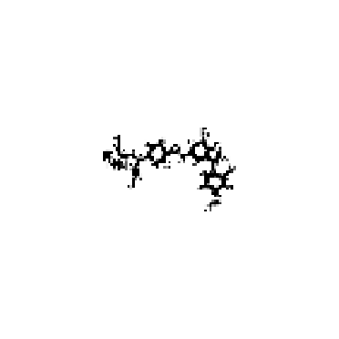 CC#CC(Cc1nnn[nH]1)c1ccc(OCc2cc(F)c3scc(-c4ccc(OC)cc4C)c3c2)cc1